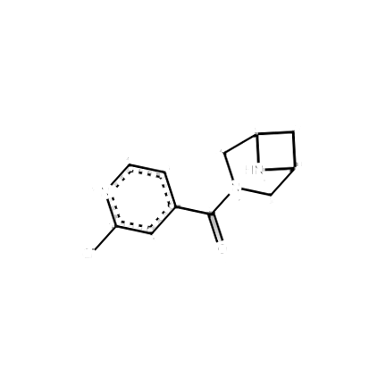 O=C(c1ccnc(Cl)c1)N1CC2CC(C1)N2